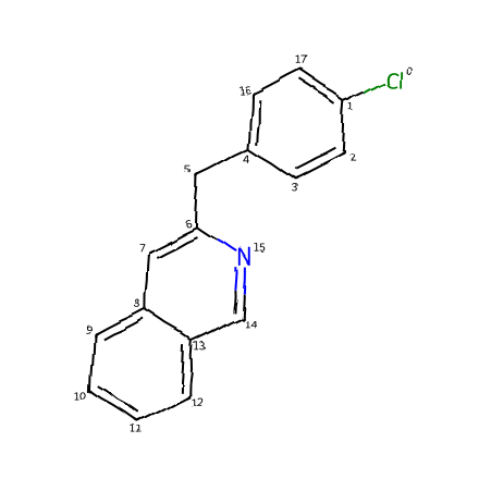 Clc1ccc(Cc2cc3ccccc3cn2)cc1